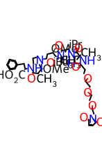 CC[C@H](C)[C@@H]([C@@H](CC(=O)N1CCC[C@H]1[C@H](OC)[C@@H](C)C(=O)N[C@@H](Cc1ccccc1)C(=O)O)OC)N(C)C(=O)[C@@H](NC(=O)C(C)(C)NC(=O)CCOCCOCCOCCN1C(=O)C=CC1=O)C(C)C